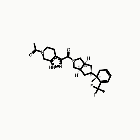 CC(=O)N1CCc2c(C(=O)N3C[C@H]4C[C@@H]([C@]5(C)CC=CC=C5C(F)(F)F)C[C@H]4C3)n[nH]c2C1